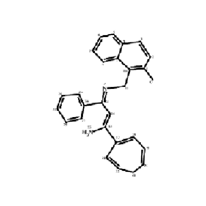 Cc1ccc2ccccc2c1C/N=C(\C=C(/N)C1=CC=CCC=C1)c1ccccc1